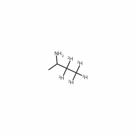 [2H]C([2H])([2H])C([2H])([2H])C(C)N